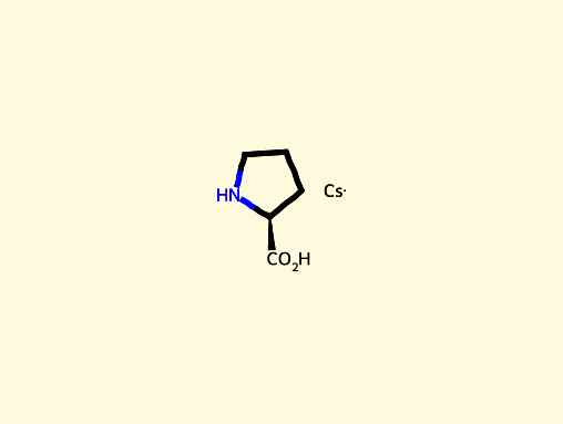 O=C(O)[C@@H]1CCCN1.[Cs]